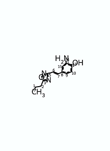 CCCc1nc(C=Cc2ccc(O)c(N)c2)no1